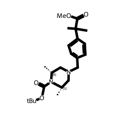 COC(=O)C(C)(C)c1ccc(CN2C[C@@H](C)N(C(=O)OC(C)(C)C)[C@@H](C)C2)cc1